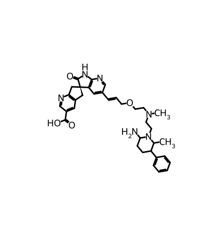 CC1C(c2ccccc2)CCC(N)N1CCN(C)CCOC/C=C/c1cnc2c(c1)[C@@]1(Cc3cc(C(=O)O)cnc3C1)C(=O)N2